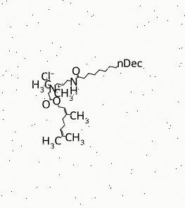 CCCCCCCCCCCCCCCCCC(=O)NCCC[N+](C)(C)CC(=O)OCC=C(C)CCC=C(C)C.[Cl-]